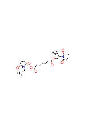 CC(COC(=O)CCCCCC(=O)OCC(C)N1C(=O)C=CCC1=O)N1C(=O)C=CC1=O